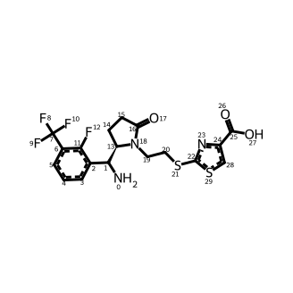 NC(c1cccc(C(F)(F)F)c1F)[C@H]1CCC(=O)N1CCSc1nc(C(=O)O)cs1